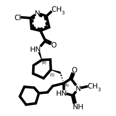 Cc1cc(C(=O)N[C@@H]2CCC[C@H](C[C@@]3(CCC4CCCCC4)NC(=N)N(C)C3=O)C2)cc(Cl)n1